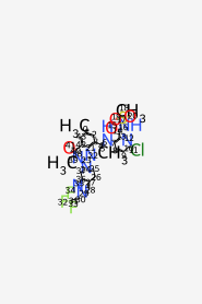 Cc1cc([C@@H](C)Nc2ccc(Cl)nc2C(=O)NS(C)(=O)=O)c2nc(N3CCc4cn(CC(F)(F)F)nc4C3)n(C)c(=O)c2c1